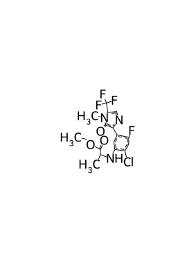 CCOC(=O)C(C)Nc1cc(-c2ncc(C(F)(F)F)n(C)c2=O)c(F)cc1Cl